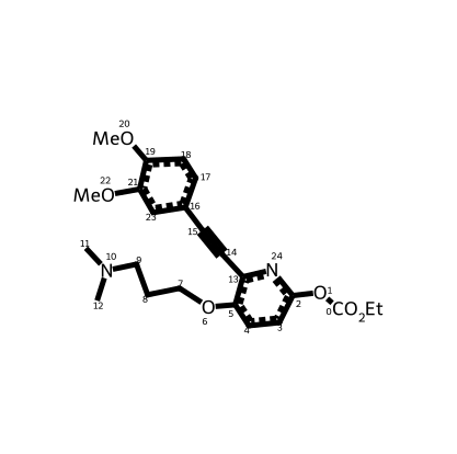 CCOC(=O)Oc1ccc(OCCCN(C)C)c(C#Cc2ccc(OC)c(OC)c2)n1